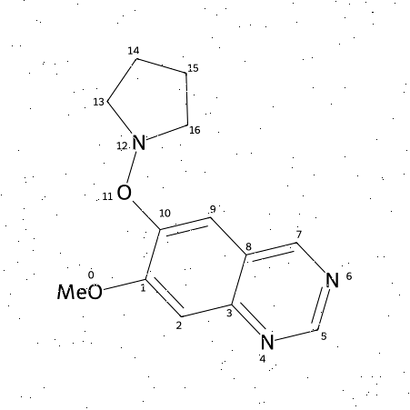 COc1cc2ncncc2cc1ON1CCCC1